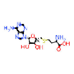 Nc1ncnc2c1ncn2[C@@H]1O[C@H](CSCCC(N)C(=O)O)C(O)C1O